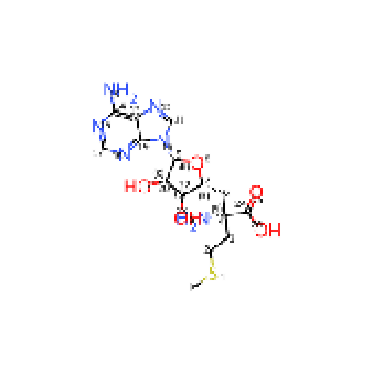 CSCC[C@@](N)(C[C@H]1O[C@@H](n2cnc3c(N)ncnc32)[C@H](O)[C@@H]1O)C(=O)O